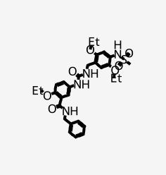 CCOc1cc(NS(C)(=O)=O)c(OCC)cc1CNC(=O)Nc1ccc(OCC)c(C(=O)NCc2ccccc2)c1